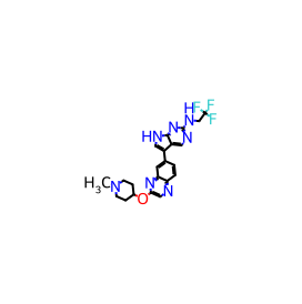 CN1CCC(Oc2cnc3ccc(-c4c[nH]c5nc(NCC(F)(F)F)ncc45)cc3n2)CC1